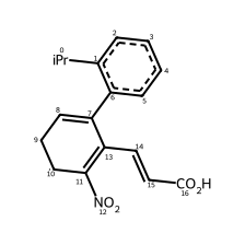 CC(C)c1ccccc1C1=CC[CH]C([N+](=O)[O-])=C1C=CC(=O)O